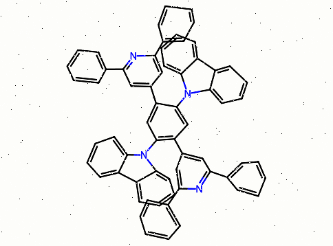 c1ccc(-c2cc(-c3cc(-n4c5ccccc5c5ccccc54)c(-c4cc(-c5ccccc5)nc(-c5ccccc5)c4)cc3-n3c4ccccc4c4ccccc43)cc(-c3ccccc3)n2)cc1